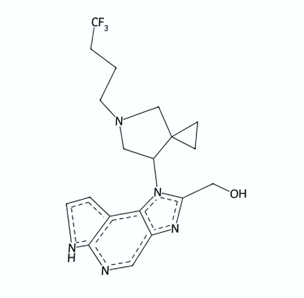 OCc1nc2cnc3[nH]ccc3c2n1C1CN(CCCC(F)(F)F)CC12CC2